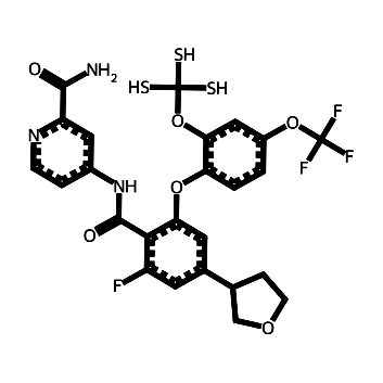 NC(=O)c1cc(NC(=O)c2c(F)cc(C3CCOC3)cc2Oc2ccc(OC(F)(F)F)cc2OC(S)(S)S)ccn1